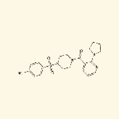 N#Cc1ccc(S(=O)(=O)N2CCN(C(=O)c3cccnc3N3CCCC3)CC2)cc1